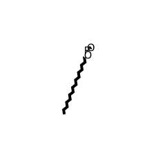 CCCCCCCCCCCCCCCCOP=O